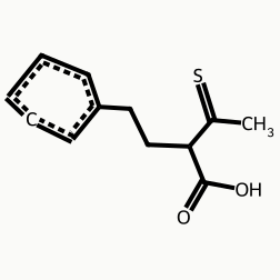 CC(=S)C(CCc1ccccc1)C(=O)O